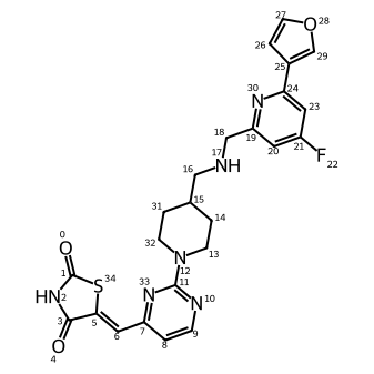 O=C1NC(=O)C(=Cc2ccnc(N3CCC(CNCc4cc(F)cc(-c5ccoc5)n4)CC3)n2)S1